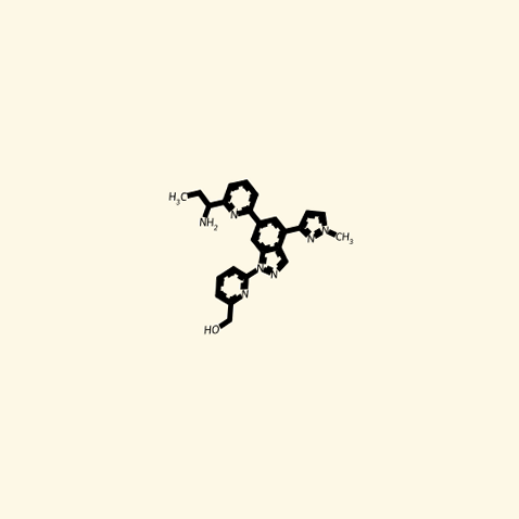 CCC(N)c1cccc(-c2cc(-c3ccn(C)n3)c3cnn(-c4cccc(CO)n4)c3c2)n1